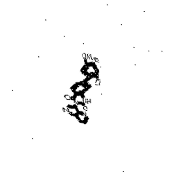 COc1ccc(Cl)c(-c2ccc3c(=O)n(-c4cncc5cccnc45)c(=O)[nH]c3c2)c1